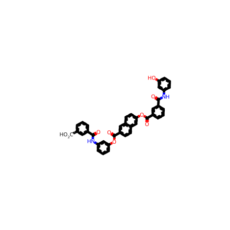 O=C(O)c1cccc(C(=O)Nc2cccc(OC(=O)c3ccc4cc(OC(=O)c5cccc(C(=O)Nc6cccc(O)c6)c5)ccc4c3)c2)c1